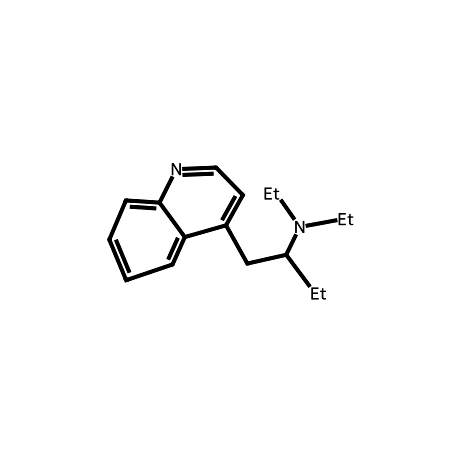 CCC(Cc1ccnc2ccccc12)N(CC)CC